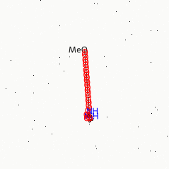 COCCOCCOCCOCCOCCOCCOCCOCCOCCOCCOCCOCCOCCOCCOCCOCCOCCOCCOCCOCCOCCOCCOCCOCCC(=O)NCCCC[C@H](NC(=O)OCC1c2ccccc2-c2ccccc21)C(=O)ON1C(=O)CCC1=O